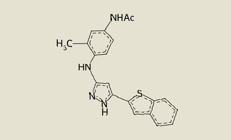 CC(=O)Nc1ccc(Nc2cc(-c3cc4ccccc4s3)[nH]n2)c(C)c1